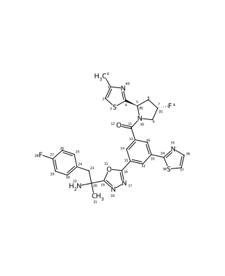 Cc1csc([C@H]2C[C@H](F)CN2C(=O)c2cc(-c3nnc(C(C)(N)Cc4ccc(F)cc4)o3)cc(-c3nccs3)c2)n1